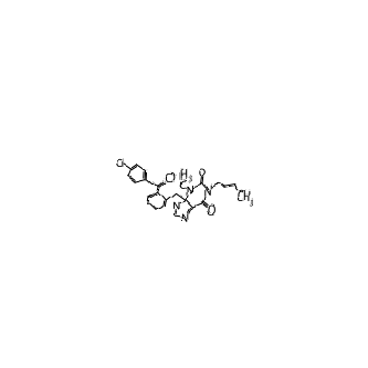 CCCCN1C(=O)C2=NC=NC2(Cc2ccccc2C(=O)c2ccc(Cl)cc2)N(C)C1=O